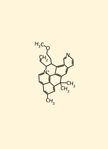 C=CC1C(CCOC)c2c3c(cc4ccncc24)C(C)(C)c2cc(C)cc4cc[n+]1c-3c24